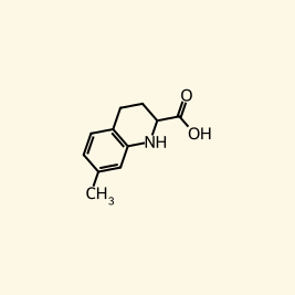 Cc1ccc2c(c1)NC(C(=O)O)CC2